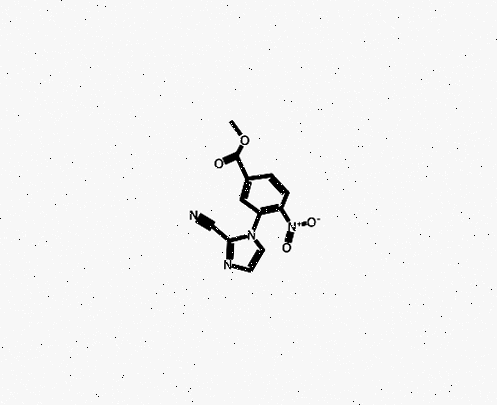 COC(=O)c1ccc([N+](=O)[O-])c(-n2ccnc2C#N)c1